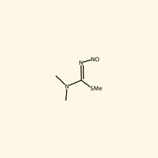 CS/C(=N\N=O)N(C)C